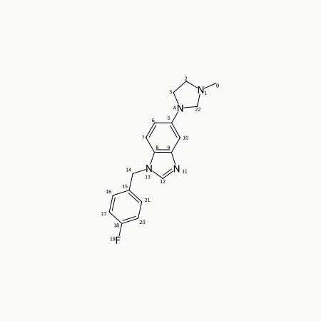 CN1CCN(c2ccc3c(c2)ncn3Cc2ccc(F)cc2)C1